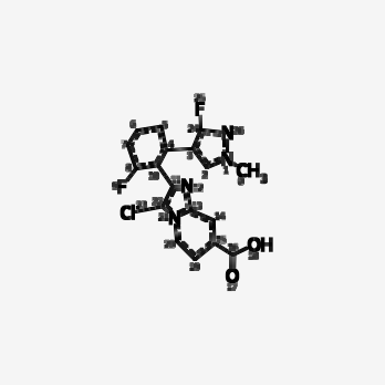 Cn1cc(-c2cccc(F)c2-c2nc3cc(C(=O)O)ccn3c2Cl)c(F)n1